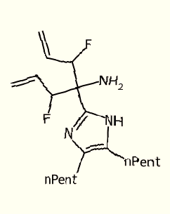 C=CC(F)C(N)(c1nc(CCCCC)c(CCCCC)[nH]1)C(F)C=C